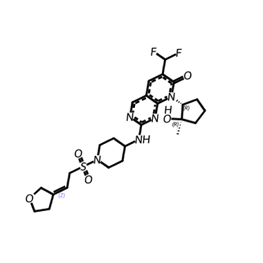 C[C@@]1(O)CCC[C@H]1n1c(=O)c(C(F)F)cc2cnc(NC3CCN(S(=O)(=O)C/C=C4/CCOC4)CC3)nc21